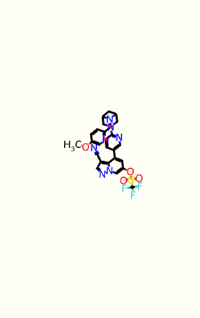 COc1ccc(CN2C3CC2CN(c2ccc(-c4cc(OS(=O)(=O)C(F)(F)F)cn5ncc(C#N)c45)cn2)C3)nc1